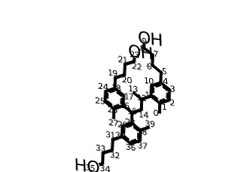 Cc1ccc(CCCCO)cc1C(C)CC(c1cc(CCCCO)ccc1C)c1cc(CCCCO)ccc1C